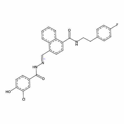 O=C(N/N=C/c1ccc(C(=O)NCCc2ccc(F)cc2)c2ccccc12)c1ccc(O)c(Cl)c1